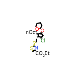 CCCCCCCC[C@@H]1[C@@H](CCSc2nc(C(=O)OCC)cs2)[C@@H](Cl)C[C@H]1OC1CCCCO1